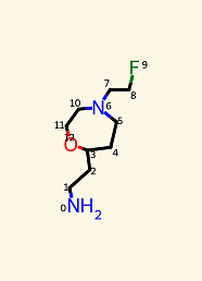 NCCC1CCN(CCF)CCO1